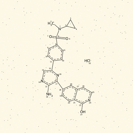 CN(C1CC1)S(=O)(=O)c1ccc(-c2cnc(N)c(-c3ccc4c(O)nccc4c3)n2)cc1.Cl